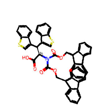 O=C(O)[C@@H](C(c1csc2ccccc12)c1csc2ccccc12)N(C(=O)OCC1c2ccccc2-c2ccccc21)C(=O)OCC1c2ccccc2-c2ccccc21